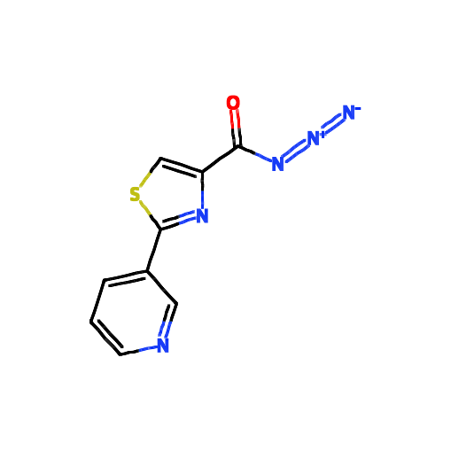 [N-]=[N+]=NC(=O)c1csc(-c2cccnc2)n1